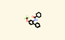 O=C(Nc1cc(OC(F)(F)F)ccc1-c1ccccc1)C1CCCCC1